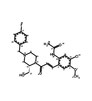 COc1cc(C=CC(=O)N2CCN(Cc3ccc(F)cc3)C[C@H]2CO)c(NC(N)=O)cc1Cl